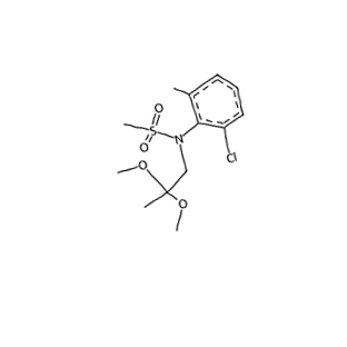 COC(C)(CN(c1c(C)cccc1Cl)S(C)(=O)=O)OC